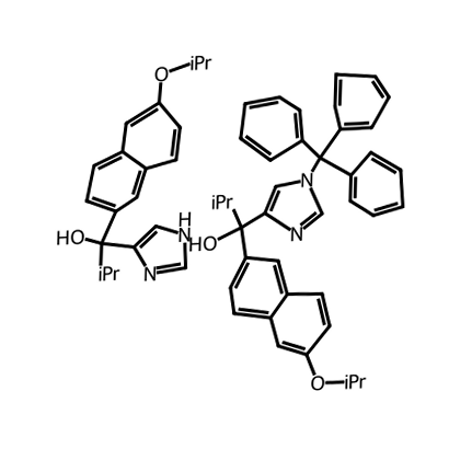 CC(C)Oc1ccc2cc(C(O)(c3c[nH]cn3)C(C)C)ccc2c1.CC(C)Oc1ccc2cc(C(O)(c3cn(C(c4ccccc4)(c4ccccc4)c4ccccc4)cn3)C(C)C)ccc2c1